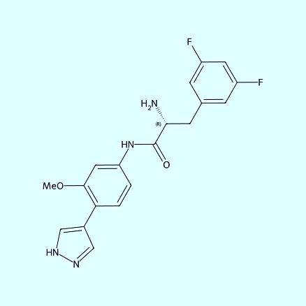 COc1cc(NC(=O)[C@H](N)Cc2cc(F)cc(F)c2)ccc1-c1cn[nH]c1